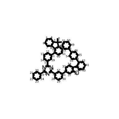 CC1(C)c2ccccc2-c2c(-c3cccc(-c4nc(-c5ccccc5)nc(-c5cccc(-c6ccc7c(c6)oc6cccc(-c8ccc(-c9ccccc9)cc8)c67)c5)n4)c3)cccc21